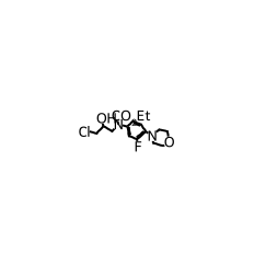 CCOC(=O)N(CC(O)CCl)c1ccc(N2CCOCC2)c(F)c1